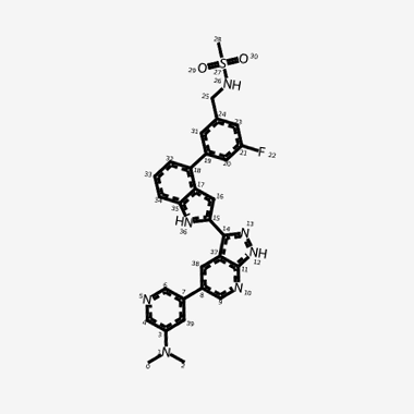 CN(C)c1cncc(-c2cnc3[nH]nc(-c4cc5c(-c6cc(F)cc(CNS(C)(=O)=O)c6)cccc5[nH]4)c3c2)c1